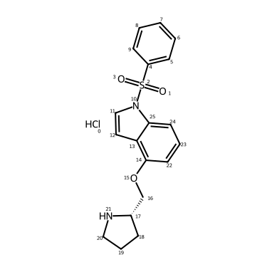 Cl.O=S(=O)(c1ccccc1)n1ccc2c(OC[C@@H]3CCCN3)cccc21